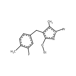 CCOc1nn(C(C)C)c(C)c1Cc1ccc(C)c(F)c1